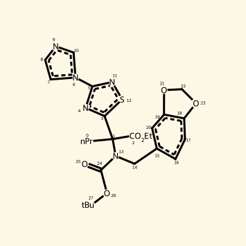 CCCC(C(=O)OCC)(c1nc(-n2ccnc2)ns1)N(Cc1ccc2c(c1)OCO2)C(=O)OC(C)(C)C